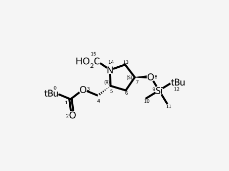 CC(C)(C)C(=O)OC[C@H]1C[C@H](O[Si](C)(C)C(C)(C)C)CN1C(=O)O